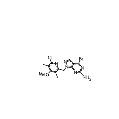 COc1c(C)c(Cl)nc(Cn2ncc3c(Br)nc(N)nc32)c1C